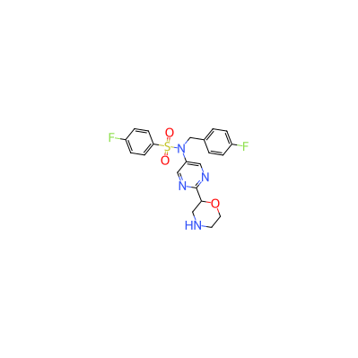 O=S(=O)(c1ccc(F)cc1)N(Cc1ccc(F)cc1)c1cnc(C2CNCCO2)nc1